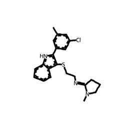 Cc1cc(Cl)cc(-c2[nH]c3ccccc3c2SCC/N=C2\CCCN2C)c1